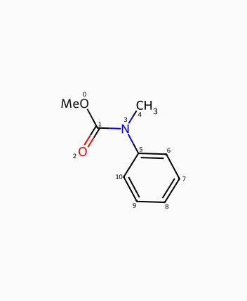 [CH2]OC(=O)N(C)c1ccccc1